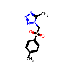 Cc1ccc(S(=O)(=O)Cn2nnnc2C)cc1